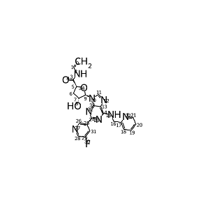 C=CNC(=O)[C@@H]1C[C@@H](O)[C@H](n2cnc3c(NCc4ccccn4)nc(-c4cncc(F)c4)nc32)O1